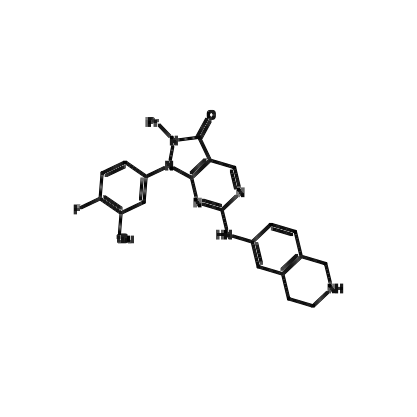 CC(C)n1c(=O)c2cnc(Nc3ccc4c(c3)CCNC4)nc2n1-c1ccc(F)c(C(C)(C)C)c1